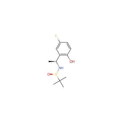 C[C@H](N[S@+]([O-])C(C)(C)C)c1cc(F)ccc1O